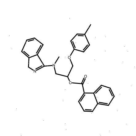 Cc1ccc(OCC(CN(C)C2=NCc3ccccc32)OC(=O)c2cccc3ccccc23)cc1